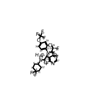 C[C@@](C(=O)NC1CCC(F)(F)CC1)(c1c(F)ncnc1F)N(C(=O)[C@H](F)Cl)c1ccc(OC(F)(F)F)cc1